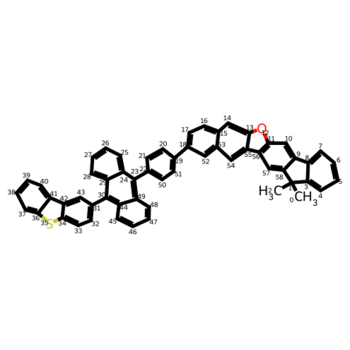 CC1(C)c2ccccc2-c2cc3oc4cc5ccc(-c6ccc(-c7c8ccccc8c(-c8ccc9sc%10ccccc%10c9c8)c8ccccc78)cc6)cc5cc4c3cc21